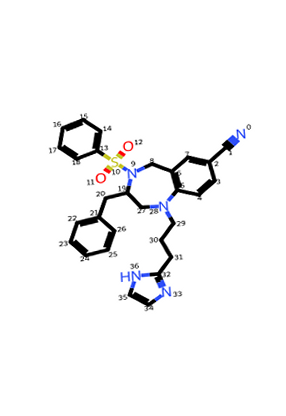 N#Cc1ccc2c(c1)CN(S(=O)(=O)c1ccccc1)C(Cc1ccccc1)CN2CCCc1ncc[nH]1